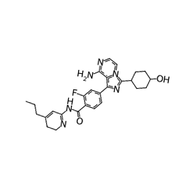 CCCC1=CC(NC(=O)c2ccc(-c3nc(C4CCC(O)CC4)n4ccnc(N)c34)cc2F)=NCC1